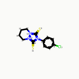 S=c1n(-c2ccc(Cl)cc2)c(=S)n2n1CCCC2